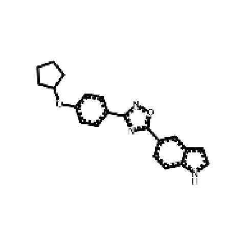 c1cc2cc(-c3nc(-c4ccc(OC5CCCC5)cc4)no3)ccc2[nH]1